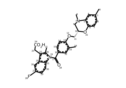 Cc1ccc2c(c1)N(C)C[C@@H](COc1ccc(C(=O)n3c(C)c(CC(=O)O)c4cc(F)ccc43)cc1C)O2